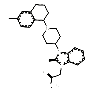 CNC(=O)Cn1c(=O)n(C2CCN(C3CCCc4cc(C)ccc43)CC2)c2ccccc21